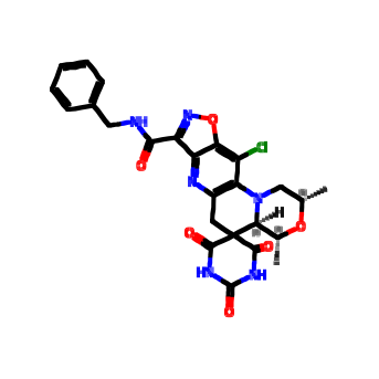 C[C@H]1CN2c3c(nc4c(C(=O)NCc5ccccc5)noc4c3Cl)CC3(C(=O)NC(=O)NC3=O)[C@@H]2[C@@H](C)O1